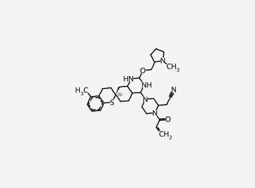 C=CC(=O)N1CCN(C2NC(OCC3CCCN3C)NC3C[C@@]4(CCc5c(C)cccc5S4)CCC32)CC1CC#N